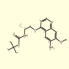 COc1cc2ncnc(OC[C@@H](C)NC(=O)OC(C)(C)C)c2cc1N